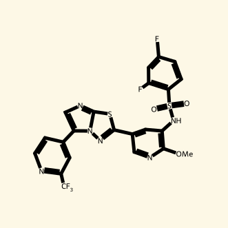 COc1ncc(-c2nn3c(-c4ccnc(C(F)(F)F)c4)cnc3s2)cc1NS(=O)(=O)c1ccc(F)cc1F